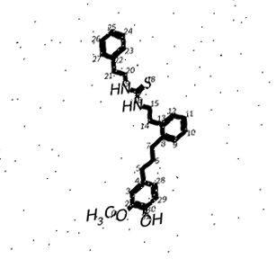 COc1cc(CCCc2ccccc2CCNC(=S)NCCc2ccccc2)ccc1O